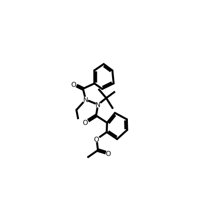 CCN(C(=O)c1ccccc1)N(C(=O)c1ccccc1OC(C)=O)C(C)(C)C